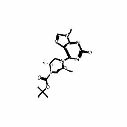 C[C@@H]1CN(c2nc(Cl)nc3c2ncn3C)[C@@H](C)CN1C(=O)OC(C)(C)C